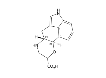 O=C(O)C1CN[C@@H]2Cc3c[nH]c4cccc(c34)[C@H]2O1